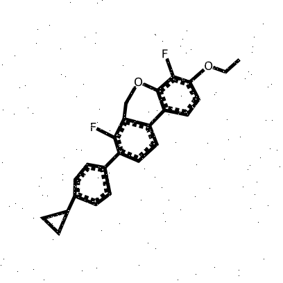 CCOc1ccc2c(c1F)OCc1c-2ccc(-c2ccc(C3CC3)cc2)c1F